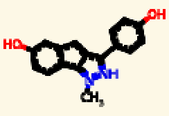 Cn1[nH]c(-c2ccc(O)cc2)c2cc3cc(O)ccc3c1-2